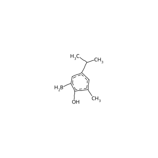 Bc1cc(C(C)C)cc(C)c1O